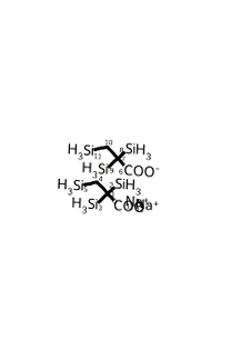 O=C([O-])C([SiH3])([SiH3])C[SiH3].O=C([O-])C([SiH3])([SiH3])C[SiH3].[Na+].[Na+]